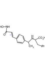 CC(C)CC(NC(C)c1ccc(/C=C/C(=O)NO)cc1)C(=O)O